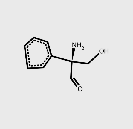 N[C@](C=O)(CO)c1ccccc1